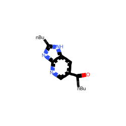 CCCCC(=O)c1cnc2nc(CCCC)[nH]c2c1